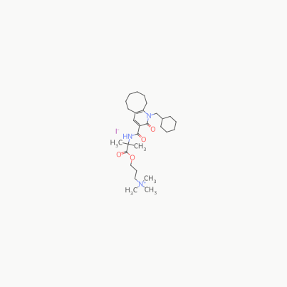 CC(C)(NC(=O)c1cc2c(n(CC3CCCCC3)c1=O)CCCCCC2)C(=O)OCCC[N+](C)(C)C.[I-]